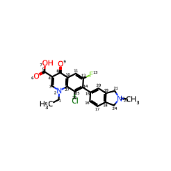 CCn1cc(C(=O)O)c(=O)c2cc(F)c(-c3ccc4c(c3)CN(C)C4)c(Cl)c21